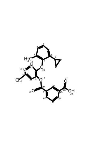 Cc1cccc(C2CC2)c1Oc1nnc(Cl)cc1OC(=O)c1cccc(C(=O)O)c1